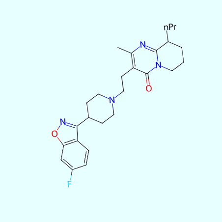 CCCC1CCCn2c1nc(C)c(CCN1CCC(c3noc4cc(F)ccc34)CC1)c2=O